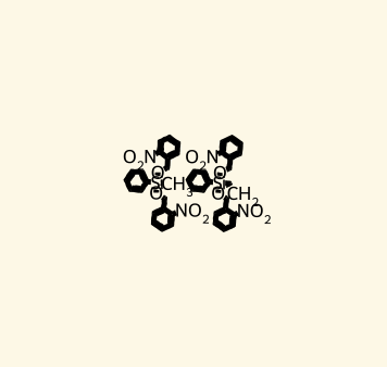 C=C[Si](OCc1ccccc1[N+](=O)[O-])(OCc1ccccc1[N+](=O)[O-])c1ccccc1.C[Si](OCc1ccccc1[N+](=O)[O-])(OCc1ccccc1[N+](=O)[O-])c1ccccc1